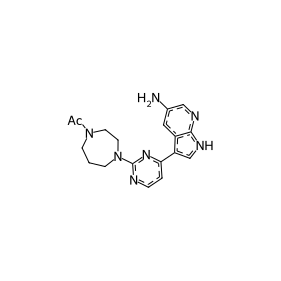 CC(=O)N1CCCN(c2nccc(-c3c[nH]c4ncc(N)cc34)n2)CC1